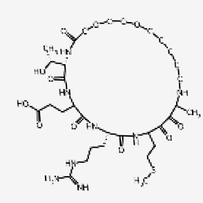 CSCCC1NC(=O)[C@H](CCCNC(=N)N)NC(=O)C(CCC(=O)O)NC(=O)[C@H]([C@@H](C)O)NC(=O)COCCOCCCCCNC(C)C(=O)C1=O